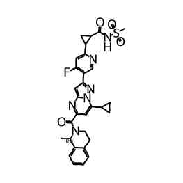 C[C@@H]1c2ccccc2CCN1C(=O)c1cc(C2CC2)n2nc(-c3cnc(C4CC4C(=O)NS(C)(=O)=O)cc3F)cc2n1